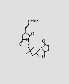 CCCCCC/C=C/C1CC(=O)N(CCC(C)(C)CC(C)CN2C(=O)C=CC2=O)C1=O